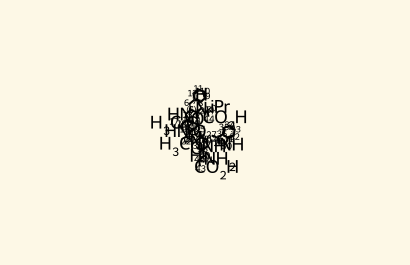 CC(C)[C@H](NC(=O)[C@H](Cc1ccccc1)NC(=O)[C@H](C)NC(=O)[C@H](C)NC(=O)[C@H](Cc1c[nH]c2ccccc12)NC(=O)[C@@H](N)CC(=O)O)C(=O)O